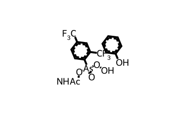 CC(=O)NO[As](=O)(OO)c1ccc(C(F)(F)F)cc1C(F)(F)F.Oc1ccccc1